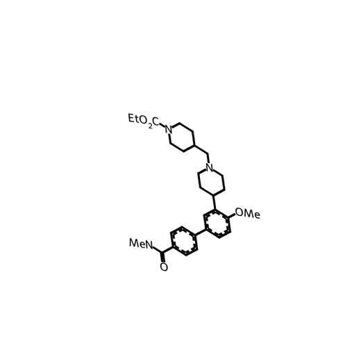 CCOC(=O)N1CCC(CN2CCC(c3cc(-c4ccc(C(=O)NC)cc4)ccc3OC)CC2)CC1